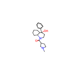 CN1CCC(C(=O)N2CCC(O)(c3ccccc3)C3CCCCC32)C1